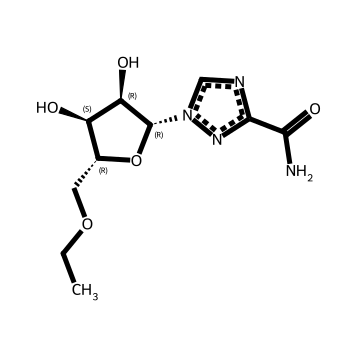 CCOC[C@H]1O[C@@H](n2cnc(C(N)=O)n2)[C@H](O)[C@@H]1O